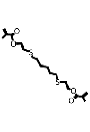 C=C(C)C(=O)OCCSCCCCCCSCCOC(=O)C(=C)C